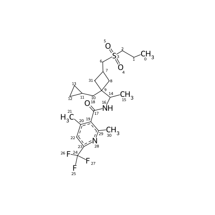 CCCS(=O)(=O)CC1CC(CC2CC2)(C(C)NC(=O)c2c(C)cc(C(F)(F)F)nc2C)C1